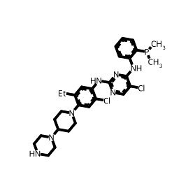 CCc1cc(Nc2ncc(Cl)c(Nc3ccccc3P(C)C)n2)c(Cl)cc1N1CCC(N2CCNCC2)CC1